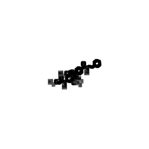 C=CC(=O)NC1CC(C)(C)N(S(=O)(=O)c2ccc(C(=O)NCCC3CCCCC3)cc2)C(C)(C)C1